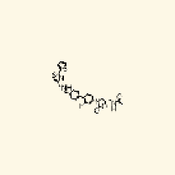 CC(=O)NC[C@H]1CN(c2ccc(-c3ccc(CNCc4csc(-c5cccs5)n4)cc3)c(F)c2)C(=O)O1